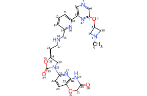 CN1CC(Oc2cncc(-c3cccc(CNCC[C@H]4CN(c5ccc6c(n5)NC(=O)CO6)C(=O)O4)n3)n2)C1